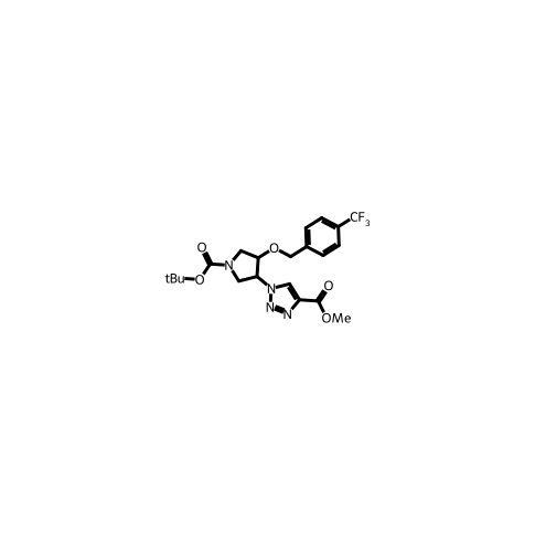 COC(=O)c1cn(C2CN(C(=O)OC(C)(C)C)CC2OCc2ccc(C(F)(F)F)cc2)nn1